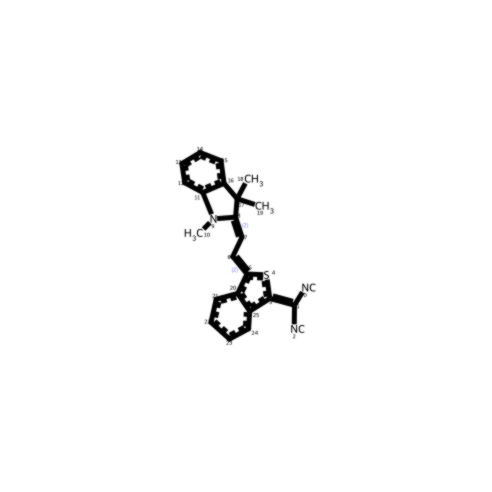 [C-]#[N+]C([N+]#[C-])=c1s/c(=C\C=C2/N(C)c3ccccc3C2(C)C)c2ccccc12